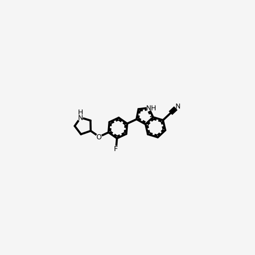 N#Cc1cccc2c(-c3ccc(OC4CCNC4)c(F)c3)c[nH]c12